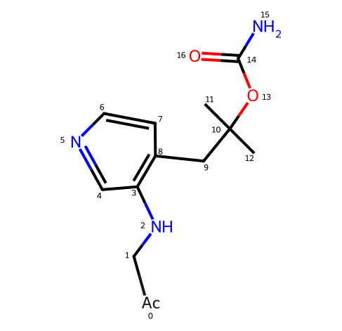 CC(=O)CNc1cnccc1CC(C)(C)OC(N)=O